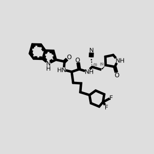 N#C[C@H](C[C@@H]1CCNC1=O)NC(=O)C(CCCC1CCC(F)(F)CC1)NC(=O)c1cc2ccccc2[nH]1